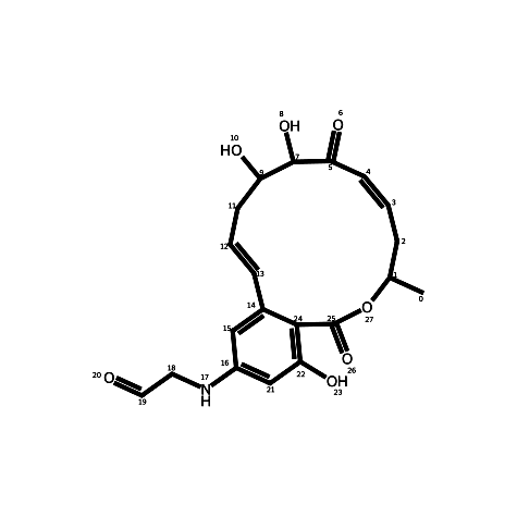 CC1C/C=C\C(=O)C(O)C(O)C/C=C/c2cc(NCC=O)cc(O)c2C(=O)O1